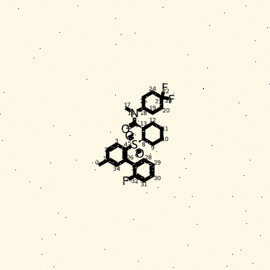 Cc1ccc(S(=O)(=O)[C@H]2CCCC[C@@H]2C(=O)N(C)C2CCC(F)(F)CC2)c(-c2ccccc2F)c1